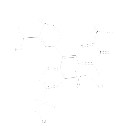 CC1=CC(=C(c2ccc(S(=O)(=O)ON)cc2S(=O)(=O)ON)[C+]2C=C(C)C(=O)C(C(=O)O)=C2)C=C(C(=O)O)C1=O